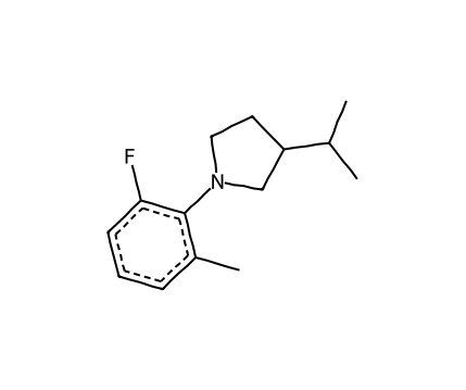 Cc1cccc(F)c1N1CCC(C(C)C)C1